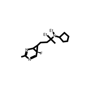 CCN(C1CCCC1)C(C)(CC)CCC1C2N=C(C)N=C[C@@]12F